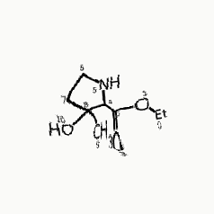 CCOC(=O)C1NCCC1(C)O